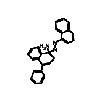 NC1(N=Nc2cccc3ccccc23)CC=C(c2ccccc2)c2ccccc21